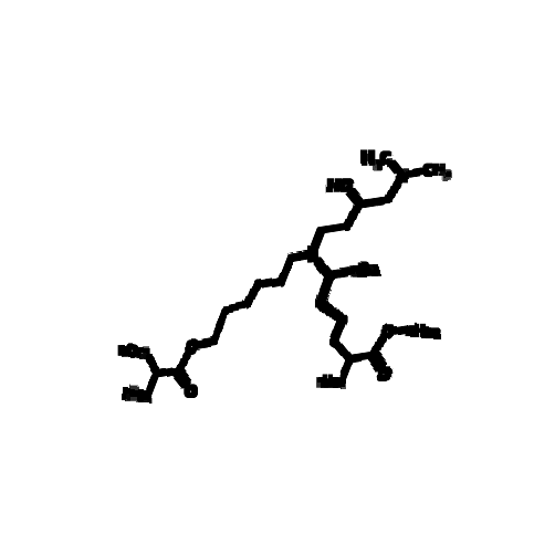 CCCCCCCCC(CCCCCC)C(=O)OCCCCCCN(CCC(O)CN(C)C)C(CCCC)CCCC(CCCCCC)C(=O)OCCCCCC